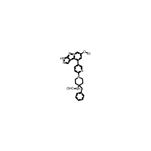 CCOc1cc(-c2ccc(N3CCC(Cc4ccccc4)(NC=O)CC3)nc2)c2c3cn[nH]c3nn2c1